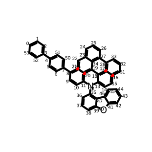 c1ccc(-c2ccc(-c3ccc(N(c4ccccc4-c4cccc5cccc(-c6ccccc6)c45)c4cccc5oc6ccccc6c45)cc3)cc2)cc1